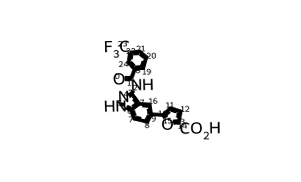 O=C(Nc1n[nH]c2ccc(-c3ccc(C(=O)O)o3)cc12)c1cccc(C(F)(F)F)c1